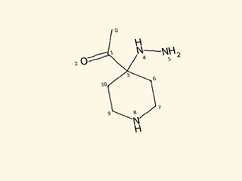 CC(=O)C1(NN)CCNCC1